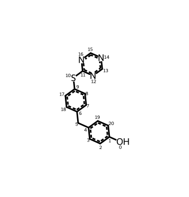 Oc1ccc(Cc2ccc(Sc3ncncn3)cc2)cc1